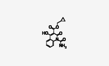 NC(=O)n1c(=O)c(C(=O)OCC2CC2)c(O)c2ccccc21